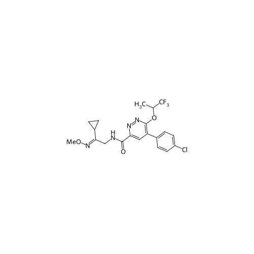 CO/N=C(/CNC(=O)c1cc(-c2ccc(Cl)cc2)c(OC(C)C(F)(F)F)nn1)C1CC1